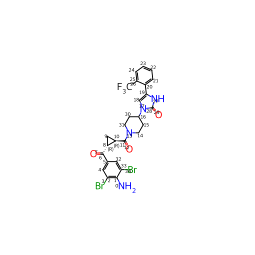 Nc1c(Br)cc(C(=O)[C@@H]2C[C@H]2C(=O)N2CCC(n3cc(-c4ccccc4C(F)(F)F)[nH]c3=O)CC2)cc1Br